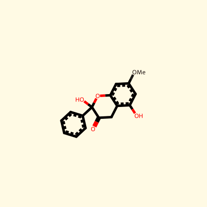 COc1cc(O)c2c(c1)OC(O)(c1ccccc1)C(=O)C2